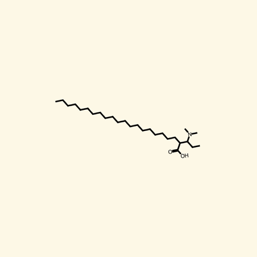 CCCCCCCCCCCCCCCCCCCCC(C(=O)O)C(CC)N(C)C